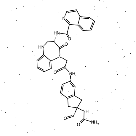 NC(=O)NC1(C=O)Cc2ccc(NC(=O)CN3C(=O)[C@@H](NC(=O)c4nccc5ccccc45)CNc4ccccc43)cc2C1